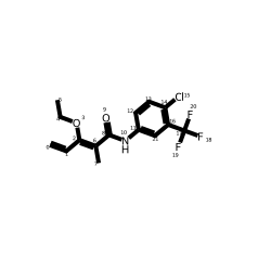 C=C/C(OCC)=C(\C)C(=O)Nc1ccc(Cl)c(C(F)(F)F)c1